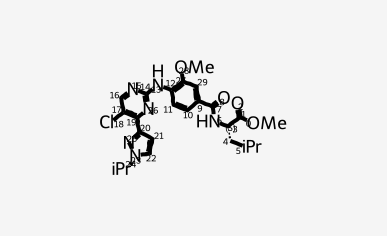 COC(=O)[C@H](CC(C)C)NC(=O)c1ccc(Nc2ncc(Cl)c(-c3ccn(C(C)C)n3)n2)c(OC)c1